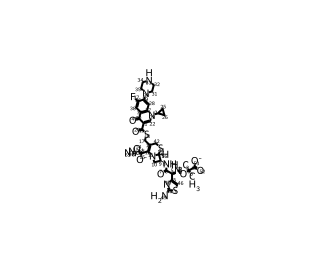 CC(C)(ON=C(C(=O)N[C@@H]1CN2C(C(=O)[O-])=C(CSC(=O)c3cn(C4CC4)c4cc(N5CCNCC5)c(F)cc4c3=O)CS[C@H]12)c1csc(N)n1)C(=O)[O-].[Na+].[Na+]